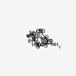 CN[C@H](C(=O)N[C@H](C(=O)N(C)[C@H](/C=C(\C)C(=O)NS(=O)(=O)Cc1ccc(NC(=O)[C@@H](CCCCN)NC(=O)[C@@H](Cc2ccccc2)NC(=O)CCCCCN2C(=O)C=CC2=O)cc1)C(C)C)C(C)(C)C)C(C)(C)c1ccccc1